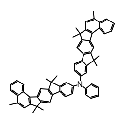 Cc1cc2c(c3ccccc13)-c1cc3c(cc1C2(C)C)-c1ccc(N(c2ccccc2)c2ccc4c(c2)C(C)(C)c2cc5c(cc2-4)C(C)(C)c2cc(C)c4ccccc4c2-5)cc1C3(C)C